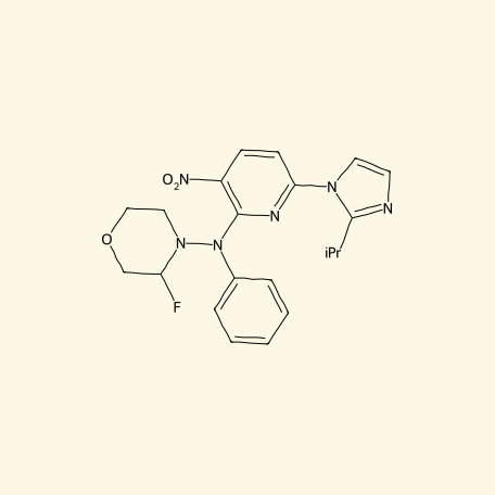 CC(C)c1nccn1-c1ccc([N+](=O)[O-])c(N(c2ccccc2)N2CCOCC2F)n1